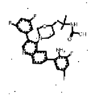 CC(C)(CC1CCN(c2c(-c3cc(F)cc(F)c3)cnc3ccc(-c4cc(F)cc(F)c4N)cc23)CC1)NC(=O)O